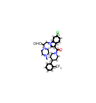 CN1CCN(C(C=O)Cn2cc(C(=O)N3CCC(c4ccccc4C(F)(F)F)CC3)c3ccc(Cl)cc32)CC1